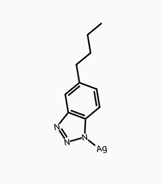 CCCCc1ccc2c(c1)nn[n]2[Ag]